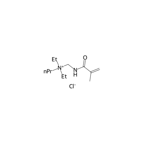 C=C(C)C(=O)NC[N+](CC)(CC)CCC.[Cl-]